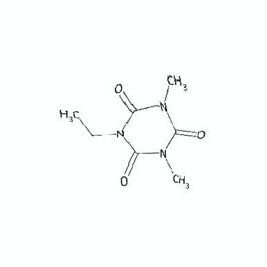 CCn1c(=O)n(C)c(=O)n(C)c1=O